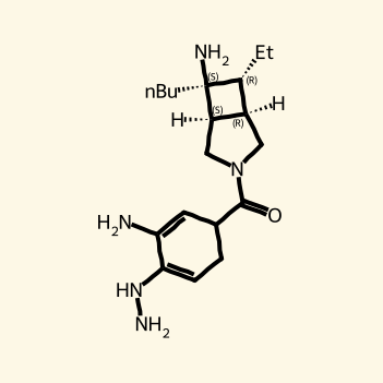 CCCC[C@]1(N)[C@H](CC)[C@H]2CN(C(=O)C3C=C(N)C(NN)=CC3)C[C@H]21